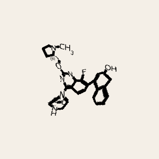 CN1CCC[C@H]1COc1nc(N2CC3CCCC2CN3)c2ccc(-c3cc(O)cc4ccccc34)c(F)c2n1